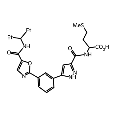 CCC(CC)NC(=O)c1cnc(-c2cccc(-c3cc(C(=O)NC(CCSC)C(=O)O)n[nH]3)c2)o1